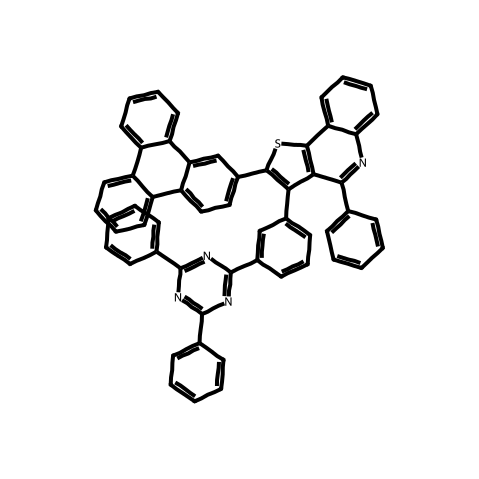 c1ccc(-c2nc(-c3ccccc3)nc(-c3cccc(-c4c(-c5ccc6c7ccccc7c7ccccc7c6c5)sc5c4c(-c4ccccc4)nc4ccccc45)c3)n2)cc1